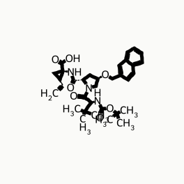 C=C[C@@H]1C[C@]1(NC(=O)[C@@H]1C[C@@H](OCc2ccc3ccccc3c2)CN1C(=O)[C@@H](NC(=O)OC(C)(C)C)C(C)(C)C)C(=O)O